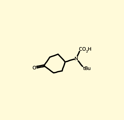 CC(C)(C)N(C(=O)O)C1CCC(=O)CC1